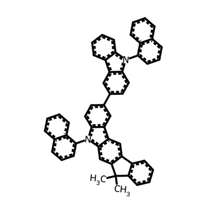 CC1(C)c2ccccc2-c2cc3c4cc(-c5ccc6c(c5)c5ccccc5n6-c5cccc6ccccc56)ccc4n(-c4cccc5ccccc45)c3cc21